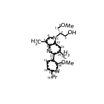 COC[C@H](CO)n1cc(C)c2nc(-c3ccc(C(C)C)nc3OC)c(C)cc21